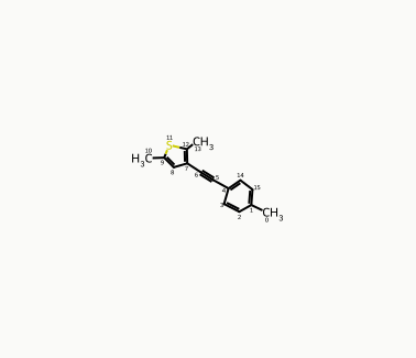 Cc1ccc(C#Cc2cc(C)sc2C)cc1